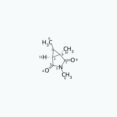 CC1[C@@H]2C(=O)N(C)C(=O)[C@]12C